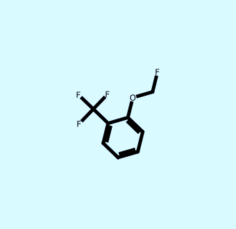 FCOc1cc[c]cc1C(F)(F)F